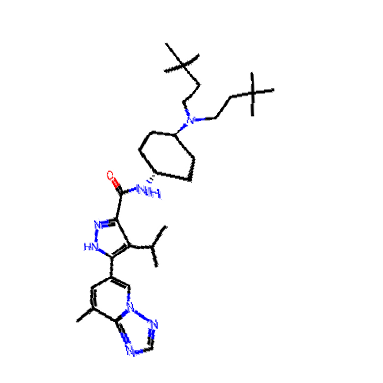 Cc1cc(-c2[nH]nc(C(=O)N[C@H]3CC[C@H](N(CCC(C)(C)C)CCC(C)(C)C)CC3)c2C(C)C)cn2ncnc12